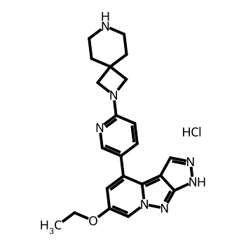 CCOc1cc(-c2ccc(N3CC4(CCNCC4)C3)nc2)c2c3cn[nH]c3nn2c1.Cl